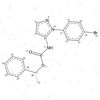 C[C@@H](OC(=O)Nc1ccnn1-c1ccc(Br)cc1)c1ccccc1